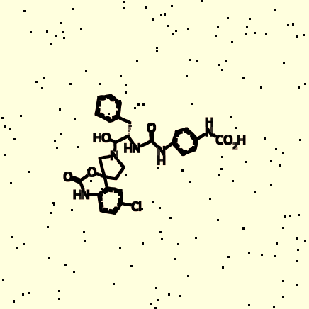 O=C(O)Nc1ccc(NC(=O)N[C@@H](Cc2ccccc2)C(O)N2CCC3(C2)OC(=O)Nc2ccc(Cl)cc23)cc1